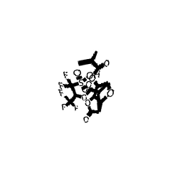 C=C(C)C(=O)OC1C2OC(=O)C3C2OC1C3C(=O)OC(C(F)(F)F)C(F)(F)S(=O)(=O)O